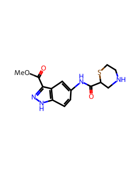 COC(=O)c1n[nH]c2ccc(NC(=O)C3CNCCS3)cc12